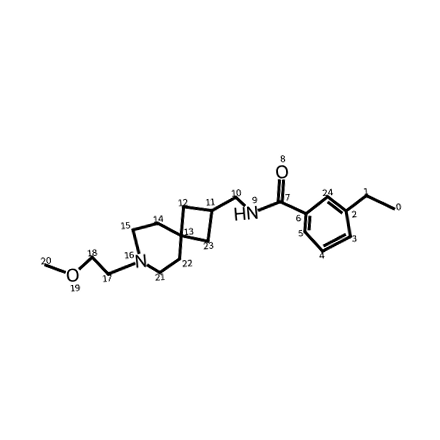 CCc1cccc(C(=O)NCC2CC3(CCN(CCOC)CC3)C2)c1